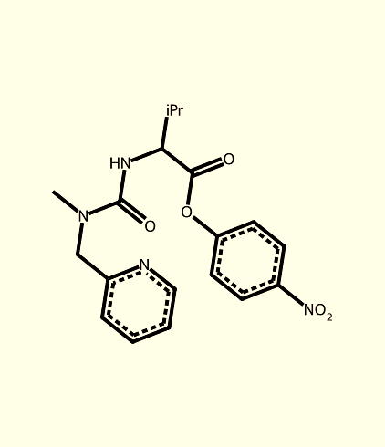 CC(C)C(NC(=O)N(C)Cc1ccccn1)C(=O)Oc1ccc([N+](=O)[O-])cc1